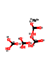 O=C([O-])O.O=C([O-])O.O=C([O-])O.O=C([O-])O.[Pb+4]